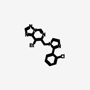 CCc1c(Cn2ccnc2-c2ccccc2Cl)ncn2ncnc12